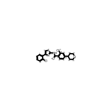 O=C(Nc1nc(-c2ccccc2Cl)cs1)c1ccc(C2CCOCC2)cc1Cl